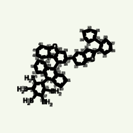 Bc1c(B)c(B)c(-c2c3ccccc3c(-c3cc(-c4ccc5oc(-c6ccccc6-c6ccccc6)cc5c4)cc4oc5ccccc5c34)c3ccccc23)c(B)c1B